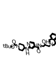 CC(C)(C)OC(=O)N1CCC(Nc2cc(C(=O)NCC(O)CN3CCc4ccccc4C3)ccn2)CC1